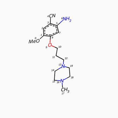 COc1cc(C#N)c(N)cc1OCCCN1CCN(C)CC1